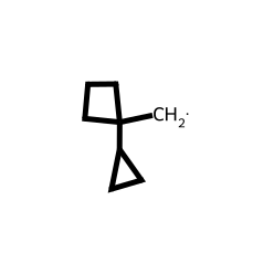 [CH2]C1(C2CC2)CCC1